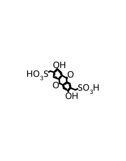 O=C1c2cc(O)c(CS(=O)(=O)O)cc2C(=O)c2cc(O)c(CS(=O)(=O)O)cc21